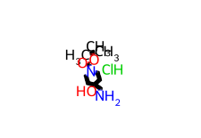 CC(C)(C)OC(=O)N1CCC(O)(CN)CC1.Cl